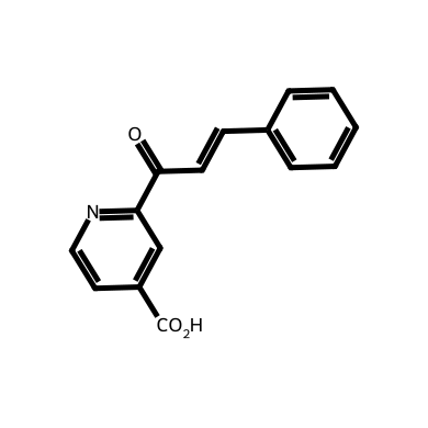 O=C(O)c1ccnc(C(=O)/C=C/c2ccccc2)c1